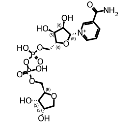 NC(=O)c1ccc[n+]([C@@H]2O[C@H](COP(=O)(O)OP(=O)(O)OC[C@H]3OC[C@H](O)[C@@H]3O)[C@@H](O)[C@H]2O)c1